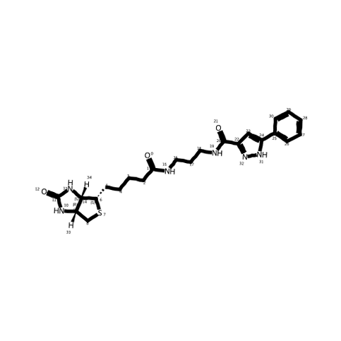 O=C(CCCC[C@@H]1SC[C@@H]2NC(=O)N[C@@H]21)NCCCNC(=O)c1cc(-c2ccccc2)[nH]n1